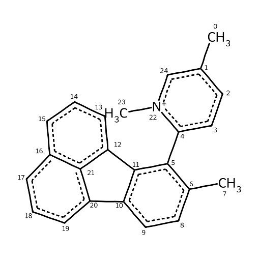 Cc1ccc(-c2c(C)ccc3c2-c2cccc4cccc-3c24)[n+](C)c1